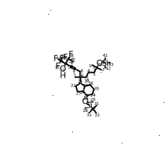 CC(C)(CCCC(C)(CC#CC(O)(C(F)(F)F)C(F)(F)F)C1CCC2[C@@H](O[Si](C)(C)C(C)(C)C)CCC[C@@]21C)O[Si](C)(C)C